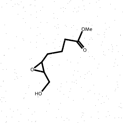 COC(=O)CCCC1OC1CO